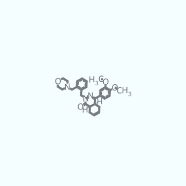 COc1ccc(C2=NN(Cc3ccccc3CN3CCOCC3)C(=O)[C@@H]3CC=CC[C@H]23)cc1OC